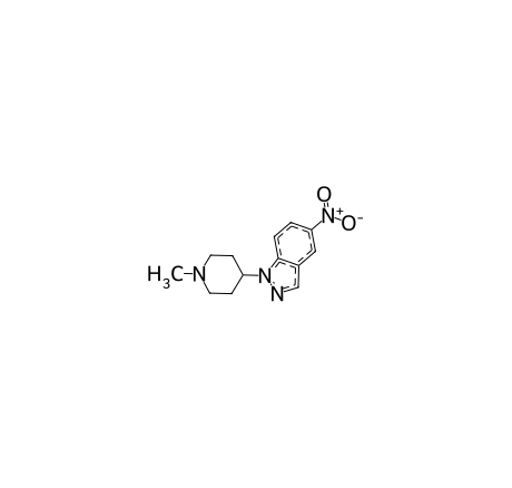 CN1CCC(n2ncc3cc([N+](=O)[O-])ccc32)CC1